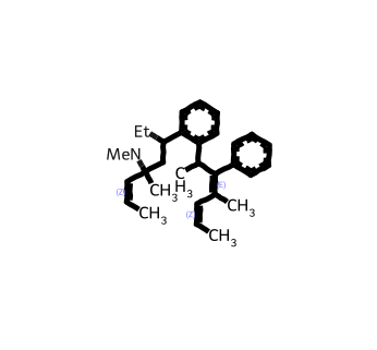 C/C=C\C(C)=C(\c1ccccc1)C(C)c1ccccc1C(CC)CC(C)(/C=C\C)NC